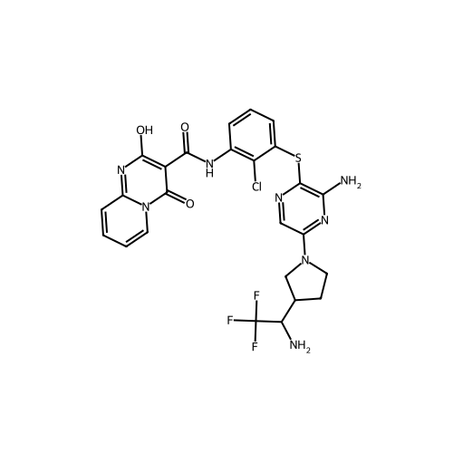 Nc1nc(N2CCC(C(N)C(F)(F)F)C2)cnc1Sc1cccc(NC(=O)c2c(O)nc3ccccn3c2=O)c1Cl